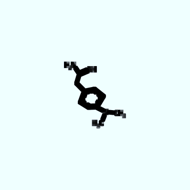 CN(C)c1ccc(CC(=N)N)cc1